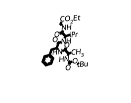 CCOC(=O)CNC(=O)C(NC(=O)C(Cc1ccccc1)NC(=O)C(C)NC(=O)OC(C)(C)C)C(C)C